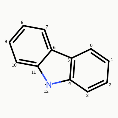 [c]1cccc2c1-c1ccccc1[N]2